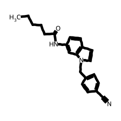 CCCCCC(=O)Nc1ccc2ccn(Cc3ccc(C#N)cc3)c2c1